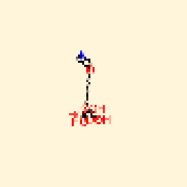 OC[C@H]1OC(O)[C@H](O)[C@@H](OCCCCCCCCCCOc2ccc3ncccc3c2)[C@@H]1O